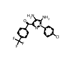 Nc1c(C(=O)c2ccc(C(F)(F)F)cc2)nn(-c2ccc(Cl)cc2)c1N